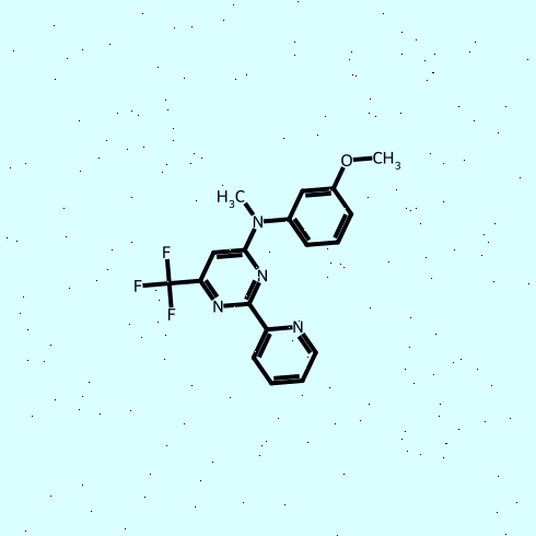 COc1cccc(N(C)c2cc(C(F)(F)F)nc(-c3ccccn3)n2)c1